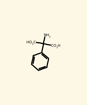 NC(C(=O)O)(C(=O)O)c1cc[c]cc1